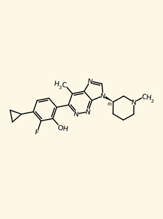 Cc1c(-c2ccc(C3CC3)c(F)c2O)nnc2c1ncn2[C@@H]1CCCN(C)C1